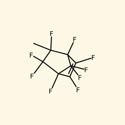 CC1(F)C(F)(F)C2(F)C(F)=C(F)C1(F)C2(F)F